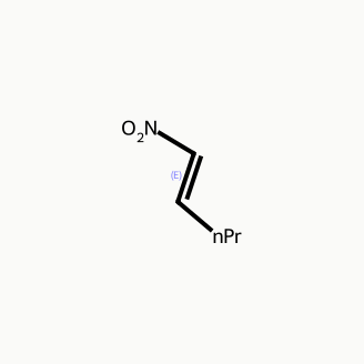 CCC/C=C/[N+](=O)[O-]